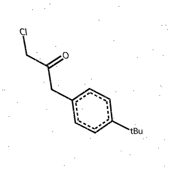 CC(C)(C)c1ccc(CC(=O)CCl)cc1